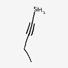 CCC#C[SiH3]